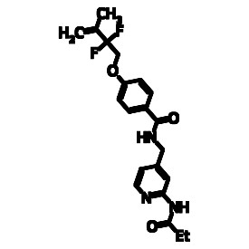 C=C(C)C(F)(F)COc1ccc(C(=O)NCc2ccnc(NC(=O)CC)c2)cc1